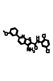 COc1cccc(-c2ccc3c(N)c(C(=O)Nc4cc(Cl)ccc4Cl)sc3n2)c1